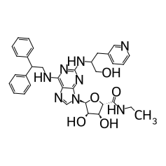 CCNC(=O)[C@H]1O[C@H](n2cnc3c(NCC(c4ccccc4)c4ccccc4)nc(NC(CO)Cc4cccnc4)nc32)[C@H](O)[C@@H]1O